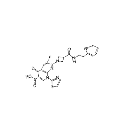 O=C(O)c1cn(-c2nccs2)c2nc(N3CC(C(=O)NCCc4ccccn4)C3)c(F)cc2c1=O